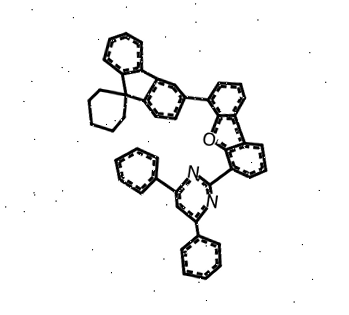 c1ccc(-c2cc(-c3ccccc3)nc(-c3cccc4c3oc3c(-c5ccc6c(c5)-c5ccccc5C65CCCCC5)cccc34)n2)cc1